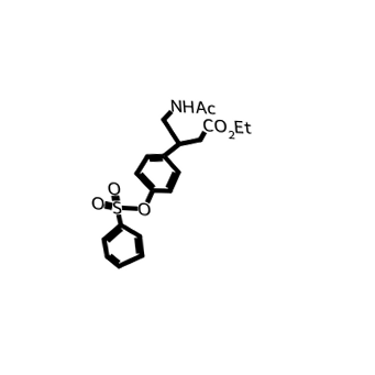 CCOC(=O)CC(CNC(C)=O)c1ccc(OS(=O)(=O)c2ccccc2)cc1